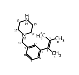 CC(C)=C(C)c1cccc(CN2CCNCC2)c1